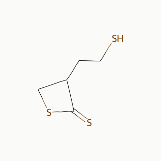 S=C1SCC1CCS